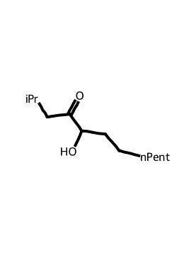 CCCCCCCC(O)C(=O)CC(C)C